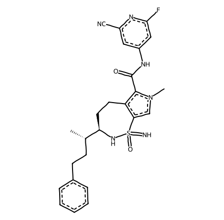 C[C@@H](CCc1ccccc1)[C@H]1CCc2c(cn(C)c2C(=O)Nc2cc(F)nc(C#N)c2)S(=N)(=O)N1